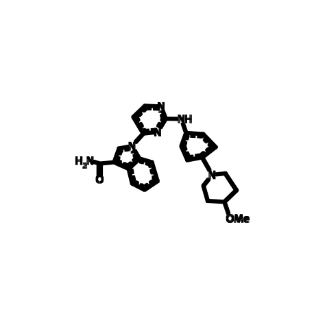 COC1CCN(c2ccc(Nc3nccc(-n4cc(C(N)=O)c5ccccc54)n3)cc2)CC1